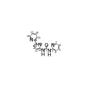 O=C(Nc1ccccn1)Nc1csc(-c2ccccn2)n1